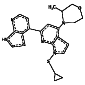 CC1COCCN1c1cc(-c2ccnc3[nH]ccc23)nc2c1ccn2SC1CC1